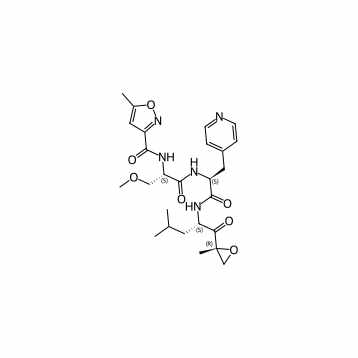 COC[C@H](NC(=O)c1cc(C)on1)C(=O)N[C@@H](Cc1ccncc1)C(=O)N[C@@H](CC(C)C)C(=O)[C@@]1(C)CO1